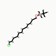 CC(C)(C)[Si](C)(C)OCCCCCCCCCCCCCl